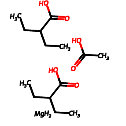 CC(=O)O.CCC(CC)C(=O)O.CCC(CC)C(=O)O.[MgH2]